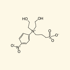 O=[N+]([O-])c1ccc([N+](CCO)(CCO)CCCS(=O)(=O)[O-])cc1